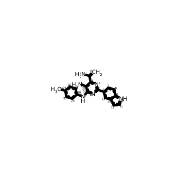 C=C(N)c1nc(-c2ccc3[nH]ccc3c2)nc(Nc2ccc(C)cc2)c1N